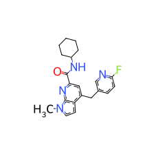 Cn1ccc2c(Cc3ccc(F)nc3)cc(C(=O)NC3CCCCC3)nc21